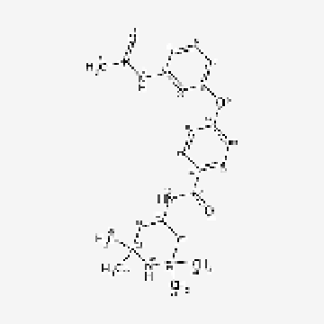 CC(=O)Nc1cccc(Oc2ccc(C(=O)NC3CC(C)(C)NC(C)(C)C3)cc2)c1